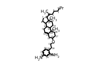 CC(C)CCC[C@@H](C)[C@H]1CCC2C3CC=C4CC(OCCc5ccc(N)cc5N)CC[C@]4(C)C3CC[C@@]21C